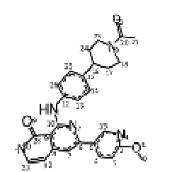 COc1ccc(-c2cc3c(c(Nc4ccc(C5CCN(C(C)=O)CC5)cc4)n2)C(=O)[N]C=C3)cn1